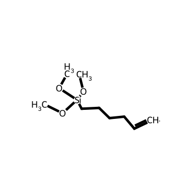 [CH]=CCCCC[Si](OC)(OC)OC